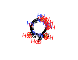 CC12CCCCCC(=O)NC(CS(=O)(=O)O)C(=O)NC(CS(=O)(=O)O)C(=O)NC(CS(=O)(=O)O)C(=O)NCCCCCNC(=O)CCCCCN3c4ccc(S(=O)(=O)O)cc4C(C)(C)C3/C=C/C=C/C=C/1N(CCCCCC(=O)O)c1ccc(S(=O)(=O)O)cc12